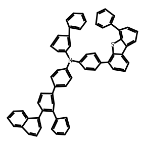 c1ccc(-c2cccc(N(c3ccc(-c4ccc(-c5cccc6ccccc56)c(-c5ccccc5)c4)cc3)c3ccc(-c4cccc5c4sc4c(-c6ccccc6)cccc45)cc3)c2)cc1